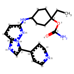 CCC1(OC(N)=O)CCC(Nc2ccc3ncc(-c4ccncc4)n3n2)CC1